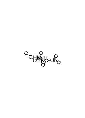 C1=CC(c2ccc(-c3cccc(C4=CC(n5c6ccccc6c6cc(-c7ccc8c(c7)c7ccccc7n8-c7ccccc7)ccc65)NC(c5ccccc5)N4)c3)cc2)=CCC1